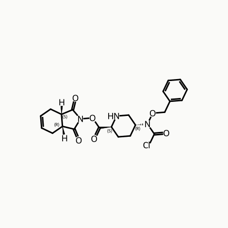 O=C(ON1C(=O)[C@H]2CC=CC[C@H]2C1=O)[C@@H]1CC[C@@H](N(OCc2ccccc2)C(=O)Cl)CN1